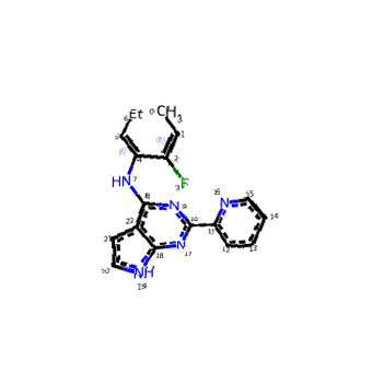 C/C=C(F)\C(=C/CC)Nc1nc(-c2ccccn2)nc2[nH]ccc12